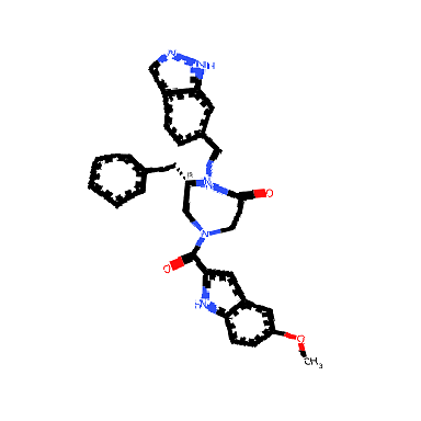 COc1ccc2[nH]c(C(=O)N3CC(=O)N(Cc4ccc5cn[nH]c5c4)[C@@H](Cc4ccccc4)C3)cc2c1